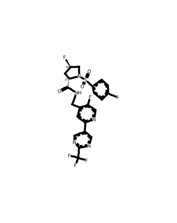 O=C(NCc1cc(-c2cnc(C(F)(F)F)nc2)ncc1F)[C@@H]1C[C@@H](F)CN1S(=O)(=O)c1ccc(F)cc1